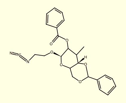 CC1C(OC(=O)c2ccccc2)[C@H](OCCN=[N+]=[N-])OC2COC(c3ccccc3)O[C@H]21